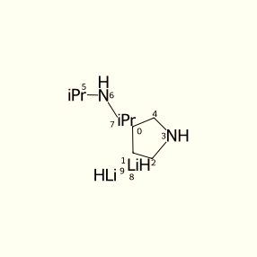 C1CCNC1.CC(C)NC(C)C.[LiH].[LiH]